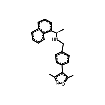 Cc1noc(C)c1-c1ccc(CN[C@H](C)c2cccc3ccccc23)cc1